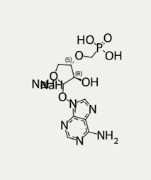 Nc1ncnc2c1ncn2OC1OC[C@H](OCP(=O)(O)O)[C@H]1O.[NaH].[NaH]